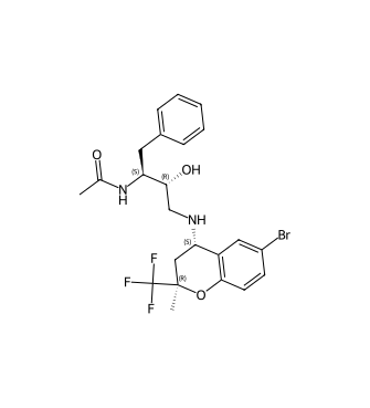 CC(=O)N[C@@H](Cc1ccccc1)[C@H](O)CN[C@H]1C[C@](C)(C(F)(F)F)Oc2ccc(Br)cc21